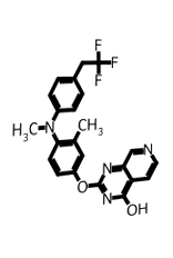 Cc1cc(Oc2nc(O)c3ccncc3n2)ccc1N(C)c1ccc(CC(F)(F)F)cc1